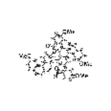 COc1ccc(/C=C\c2ccc3c(-c4c(OC(=O)c5ccc(OC)cc5)ccc5cc(/C=C\c6ccc(OC)cc6)ccc45)c(OC(=O)c4ccc(OC)cc4)ccc3c2)cc1